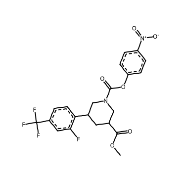 COC(=O)C1CC(c2ccc(C(F)(F)F)cc2F)CN(C(=O)Oc2ccc([N+](=O)[O-])cc2)C1